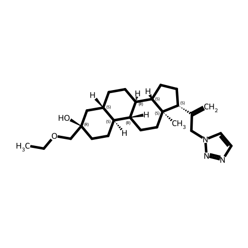 C=C(Cn1ccnn1)[C@H]1CC[C@H]2[C@@H]3CC[C@H]4C[C@@](O)(COCC)CC[C@@H]4[C@H]3CC[C@]12C